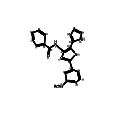 CC(=O)Nc1cc(-c2nc(NC(=O)c3ccccc3)c(-c3ncc[nH]3)s2)ccn1